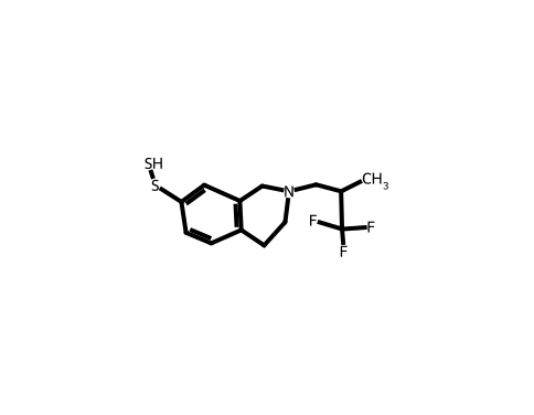 CC(CN1CCc2ccc(SS)cc2C1)C(F)(F)F